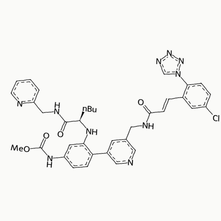 CCCC[C@@H](Nc1cc(NC(=O)OC)ccc1-c1cncc(CNC(=O)/C=C/c2cc(Cl)ccc2-n2cnnn2)c1)C(=O)NCc1ccccn1